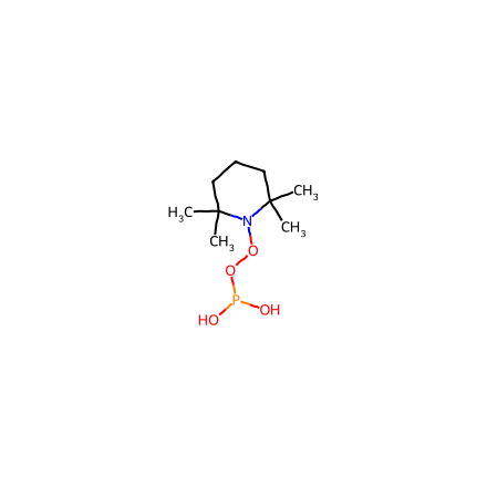 CC1(C)CCCC(C)(C)N1OOP(O)O